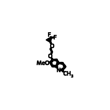 COc1cc2nc(C)ccc2cc1OCCOC1CC1(F)F